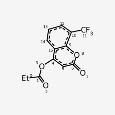 CCC(=O)Oc1cc(=O)oc2c(C(F)(F)F)cccc12